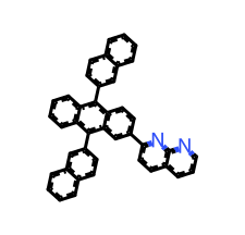 c1ccc2cc(-c3c4ccccc4c(-c4ccc5ccccc5c4)c4cc(-c5ccc6cccnc6n5)ccc34)ccc2c1